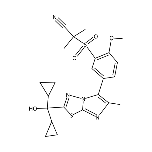 COc1ccc(-c2c(C)nc3sc(C(O)(C4CC4)C4CC4)nn23)cc1S(=O)(=O)C(C)(C)C#N